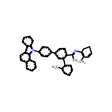 CC1=C(/N=C(\C)c2ccc(-c3ccc(-n4c5ccccc5c5ccc6ccccc6c54)cc3)cc2-c2ccccc2C)CCC=C1